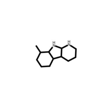 CC1CCCC2C3CCCNC3NC12